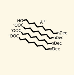 CCCCCCCCCCCCCCCCCC(=O)[O-].CCCCCCCCCCCCCCCCCC(=O)[O-].CCCCCCCCCCCCCCCCCC(=O)[O-].CCCCCCCCCCCCCCCCCCO.[Al+3]